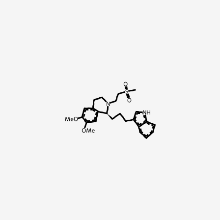 COc1cc2c(cc1OC)[C@H](CCCc1c[nH]c3ccccc13)N(CCS(C)(=O)=O)CC2